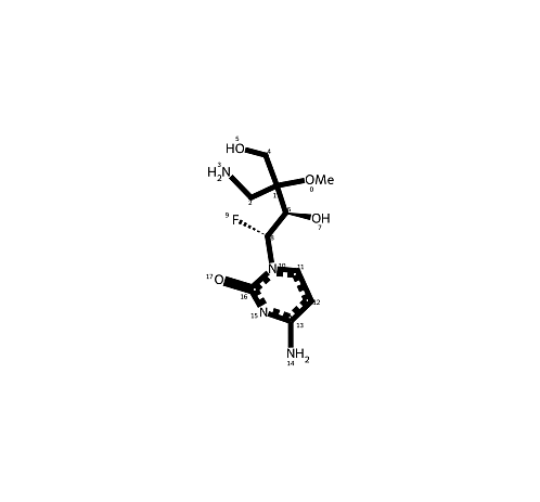 COC(CN)(CO)[C@@H](O)[C@@H](F)n1ccc(N)nc1=O